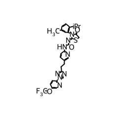 Cc1ccc(C(C)C)c(N2C(=O)CSC2=NC(=O)Nc2ccc(CCc3ncn(-c4ccc(OC(F)(F)F)cn4)n3)cn2)c1